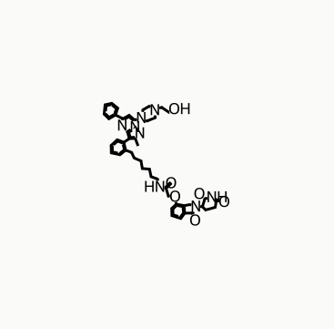 Cc1nn2c(N3CCN(CCO)CC3)cc(-c3ccccc3)nc2c1-c1ccccc1CCCCCCCNC(=O)COc1cccc2c1CN(C1CCC(=O)NC1=O)C2=O